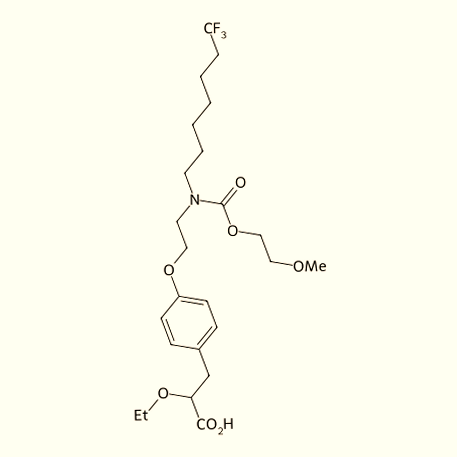 CCOC(Cc1ccc(OCCN(CCCCCCC(F)(F)F)C(=O)OCCOC)cc1)C(=O)O